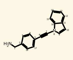 NCc1ccc(C#Cn2ccc3ccccc32)cc1